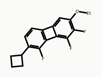 CCOc1cc2c(c(F)c1F)-c1c-2ccc(C2CCC2)c1F